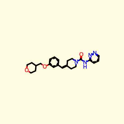 O=C(Nc1cccnn1)N1CCC(=Cc2cccc(OCC3CCOCC3)c2)CC1